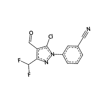 N#Cc1cccc(-n2nc(C(F)F)c(C=O)c2Cl)c1